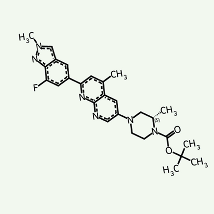 Cc1cc(-c2cc(F)c3nn(C)cc3c2)nc2ncc(N3CCN(C(=O)OC(C)(C)C)[C@@H](C)C3)cc12